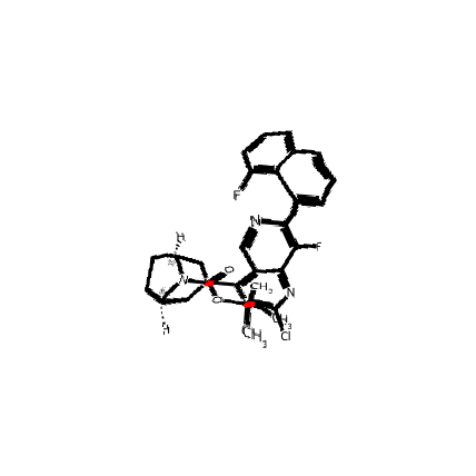 CC(C)(C)OC(=O)N1[C@@H]2CC[C@H]1CN(c1nc(Cl)nc3c(F)c(-c4cccc5cccc(F)c45)ncc13)C2